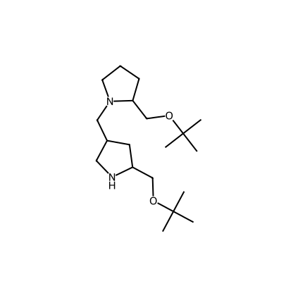 CC(C)(C)OCC1CC(CN2CCCC2COC(C)(C)C)CN1